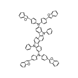 c1ccc(-n2c3cc(N(c4ccc(-c5cc6ccccc6o5)cc4)c4ccc(-c5cc6ccccc6o5)cc4)ccc3c3c4ccc5c(c4ccc32)c2ccc(N(c3ccc(-c4cc6ccccc6o4)cc3)c3ccc(-c4cc6ccccc6o4)cc3)cc2n5-c2ccccc2)cc1